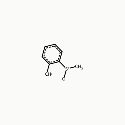 [CH]c1ccccc1[S+](C)[O-]